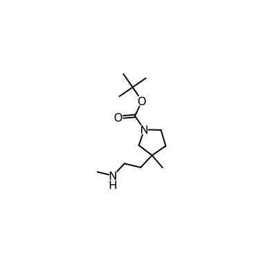 CNCCC1(C)CCN(C(=O)OC(C)(C)C)C1